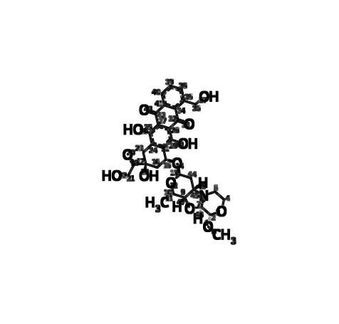 CO[C@H]1OCCN2[C@@H]1O[C@@H]1[C@H](C)O[C@@H](O[C@H]3C[C@](O)(C(=O)CO)Cc4c(O)c5c(c(O)c43)C(=O)c3c(CO)cccc3C5=O)C[C@@H]12